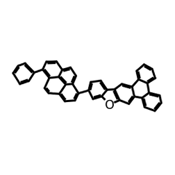 c1ccc(-c2ccc3ccc4c(-c5ccc6c(c5)oc5cc7c8ccccc8c8ccccc8c7cc56)ccc5ccc2c3c54)cc1